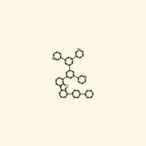 c1ccc(-c2ccc(-c3cccc4c3oc3c(-c5cc(-c6cccnc6)cc(-c6cc(-c7cccnc7)cc(-c7cccnc7)c6)c5)cccc34)cc2)cc1